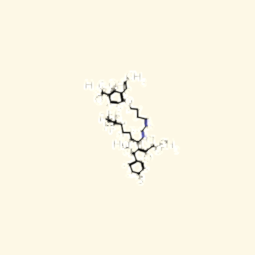 CCCc1c(OCCC/C=C\C=C\[C@@H](c2c(C(=O)OC)oc3c(c2=O)=CCC(=S)C=3)[C@H](O)CCCC(F)(F)C(F)(F)F)ccc(C(C)=O)c1O